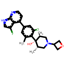 Cc1cc(-c2ccnc3[nH]cc(F)c23)cc(Cl)c1[C@@]1(O)[C@H](C)CN(C2COC2)C[C@@H]1C